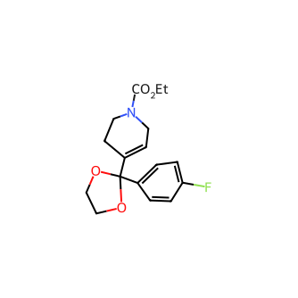 CCOC(=O)N1CC=C(C2(c3ccc(F)cc3)OCCO2)CC1